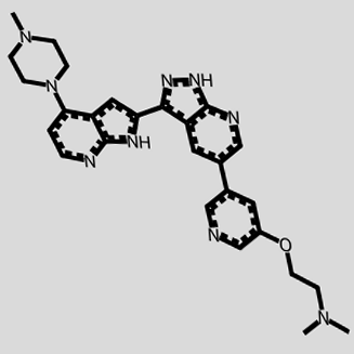 CN(C)CCOc1cncc(-c2cnc3[nH]nc(-c4cc5c(N6CCN(C)CC6)ccnc5[nH]4)c3c2)c1